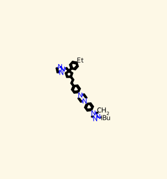 C=C1N(c2ccc(N3CCN(c4ccc(CCC5CCC(Cn6nccn6)(c6ccc(CC)cc6)C5)cc4)CC3)cc2)C=NN1C(C)CC